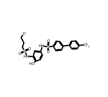 O=S(=O)(CCCCl)Nc1cc(NS(=O)(=O)c2ccc(-c3ccc(C(F)(F)F)cc3)cc2)ccc1O